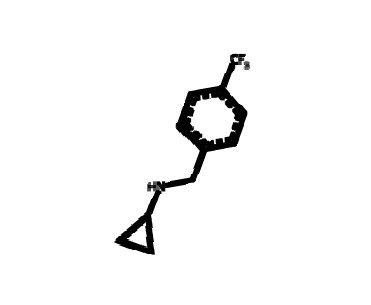 FC(F)(F)c1ccc(CNC2CC2)cc1